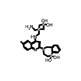 Cc1ccc2nc(N3CCS(O)(O)c4ccccc4C3)cc(NCS3(CN)CS(O)(O)C3)c2c1